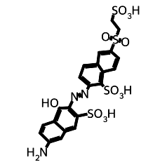 Nc1ccc2c(O)c(N=Nc3ccc4cc(S(=O)(=O)CCS(=O)(=O)O)ccc4c3S(=O)(=O)O)c(S(=O)(=O)O)cc2c1